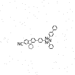 N#Cc1ccc2c(c1)C1(CCCCC1)c1cc(-c3ccc(-c4nc(-c5ccccc5)nc(-c5ccc(-c6ccccc6)cc5)n4)cc3)ccc1-2